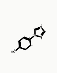 OC1=CC=C(n2cncn2)CC1